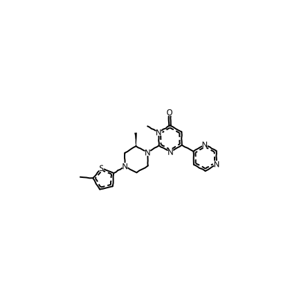 Cc1ccc(N2CCN(c3nc(-c4ccncn4)cc(=O)n3C)[C@H](C)C2)s1